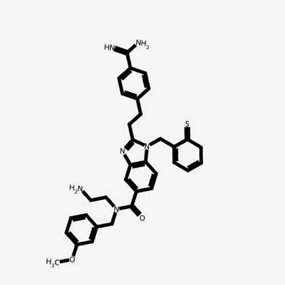 COc1cccc(CN(CCN)C(=O)c2ccc3c(c2)nc(CCc2ccc(C(=N)N)cc2)n3CC2=CC=CCC2=S)c1